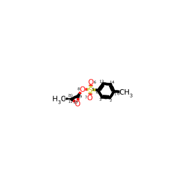 Cc1ccc(S(=O)(=O)OC2O[C@H]2C)cc1